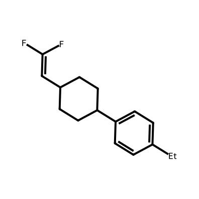 CCc1ccc(C2CCC(C=C(F)F)CC2)cc1